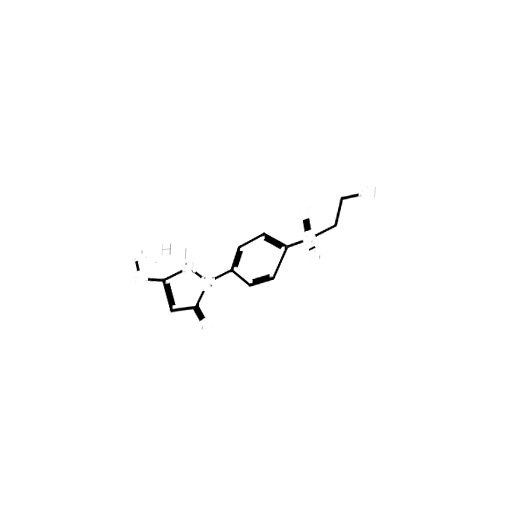 O=C(O)Oc1cc(=O)n(-c2ccc(S(=O)(=O)CCO)cc2)[nH]1